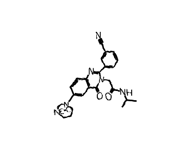 CC(C)NC(=O)Cn1c(-c2cccc(C#N)c2)nc2ccc(N3CCN4CCC3CC4)cc2c1=O